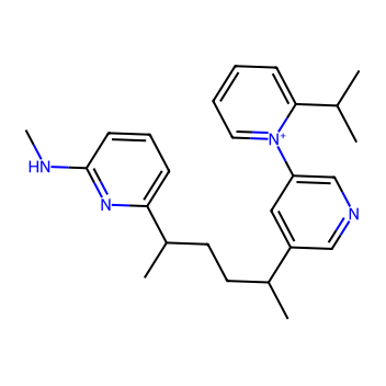 CNc1cccc(C(C)CCC(C)c2cncc(-[n+]3ccccc3C(C)C)c2)n1